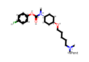 CCCCCN(C)CCCCCO[C@H]1CC[C@H](N(C)C(=O)Oc2ccc(F)cc2)CC1